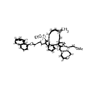 CCOC(=O)c1c(CCCOc2cccc3ccccc23)c2cccc3c2n1CCCN(C)Cc1nn(CCOC)c(CN2CCOCC2)c1-3